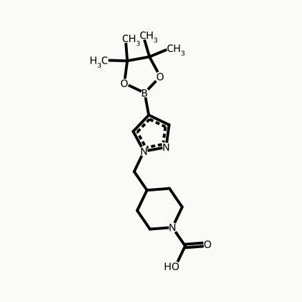 CC1(C)OB(c2cnn(CC3CCN(C(=O)O)CC3)c2)OC1(C)C